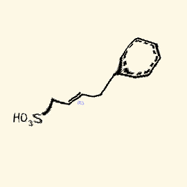 O=S(=O)(O)C/C=C/Cc1ccccc1